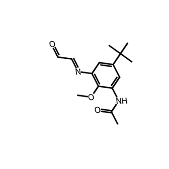 COc1c(N=CC=O)cc(C(C)(C)C)cc1NC(C)=O